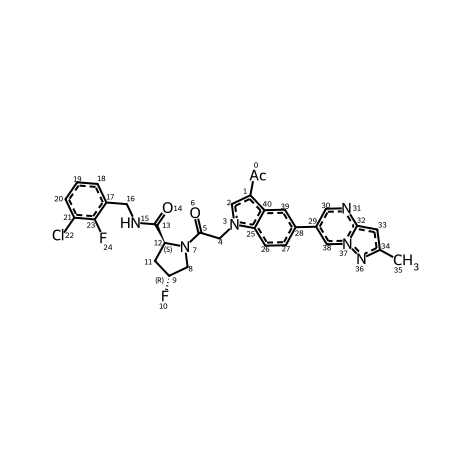 CC(=O)c1cn(CC(=O)N2C[C@H](F)C[C@H]2C(=O)NCc2cccc(Cl)c2F)c2ccc(-c3cnc4cc(C)nn4c3)cc12